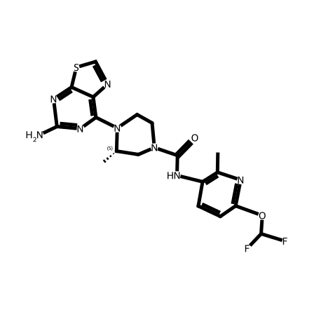 Cc1nc(OC(F)F)ccc1NC(=O)N1CCN(c2nc(N)nc3scnc23)[C@@H](C)C1